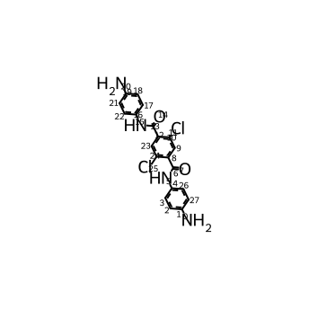 Nc1ccc(NC(=O)c2cc(Cl)c(C(=O)Nc3ccc(N)cc3)cc2Cl)cc1